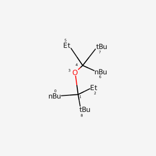 CCCCC(CC)(OC(CC)(CCCC)C(C)(C)C)C(C)(C)C